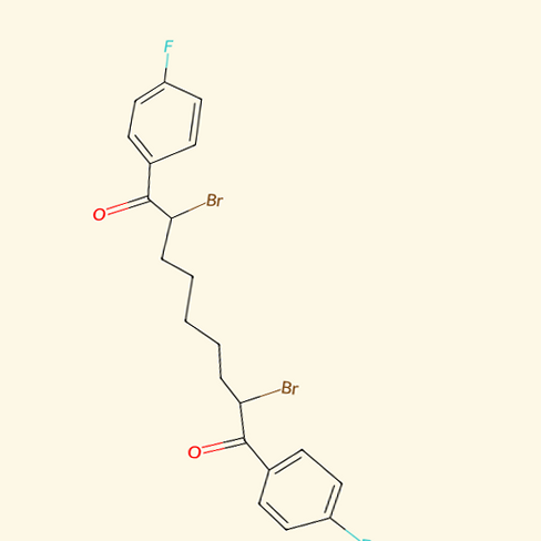 O=C(c1ccc(F)cc1)C(Br)CCCCCC(Br)C(=O)c1ccc(F)cc1